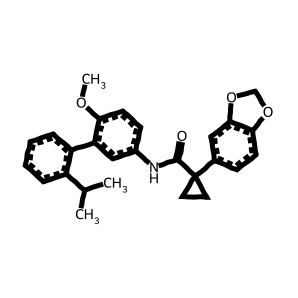 COc1ccc(NC(=O)C2(c3ccc4c(c3)OCO4)CC2)cc1-c1ccccc1C(C)C